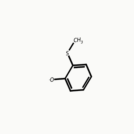 CSc1ccccc1[O]